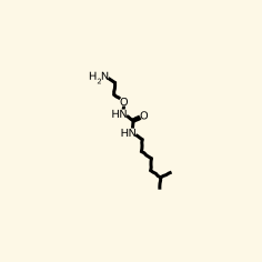 CC(C)CCCCNC(=O)NOCCN